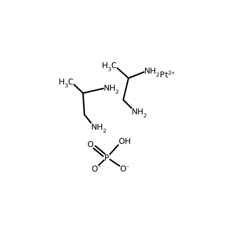 CC(N)CN.CC(N)CN.O=P([O-])([O-])O.[Pt+2]